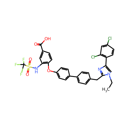 CCn1cc(-c2ccc(Cl)cc2Cl)nc1Cc1ccc(-c2ccc(Oc3ccc(C(=O)O)cc3NS(=O)(=O)C(F)(F)F)cc2)cc1